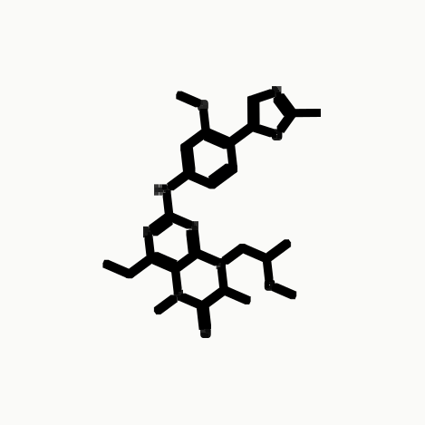 CCc1nc(Nc2ccc(-c3cnc(C)o3)c(OC)c2)nc2c1N(C)C(=O)C(C)N2CC(C)OC